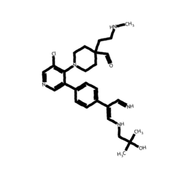 CNCCC1(C=O)CCN(c2c(Cl)cncc2-c2ccc(/C(C=N)=C/NCC(C)(C)O)cc2)CC1